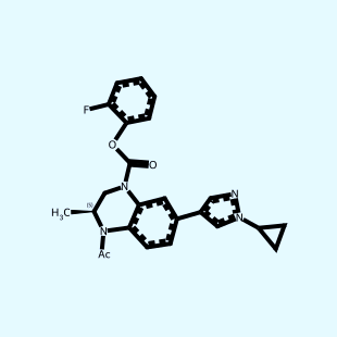 CC(=O)N1c2ccc(-c3cnn(C4CC4)c3)cc2N(C(=O)Oc2ccccc2F)C[C@@H]1C